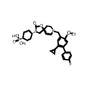 CCOc1cc(-c2ccc(F)cc2)c(C2CC2)cc1CN1CCC2(CC1)CN([C@H]1CC[C@H](P(=O)(O)O)CC1)C(=O)O2